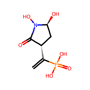 C=C([C@H]1C[C@H](O)N(O)C1=O)P(=O)(O)O